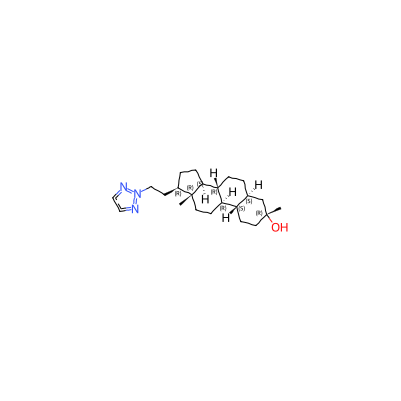 C[C@@]1(O)CC[C@H]2[C@@H](CC[C@@H]3[C@@H]2CC[C@]2(C)[C@@H](CCn4nccn4)CC[C@@H]32)C1